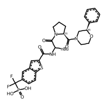 CCCCC(NC(=O)c1cc2cc(C(F)(F)P(=O)(O)O)ccc2s1)C(=O)N1CCC[C@H]1C(=O)N1CCO[C@H](c2ccccc2)C1